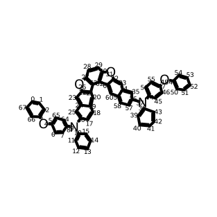 c1ccc(Oc2ccc(N(c3ccccc3)c3ccc4cc5c(cc4c3)oc3ccc4oc6cc7cc(N(c8ccccc8)c8ccc(Oc9ccccc9)cc8)ccc7cc6c4c35)cc2)cc1